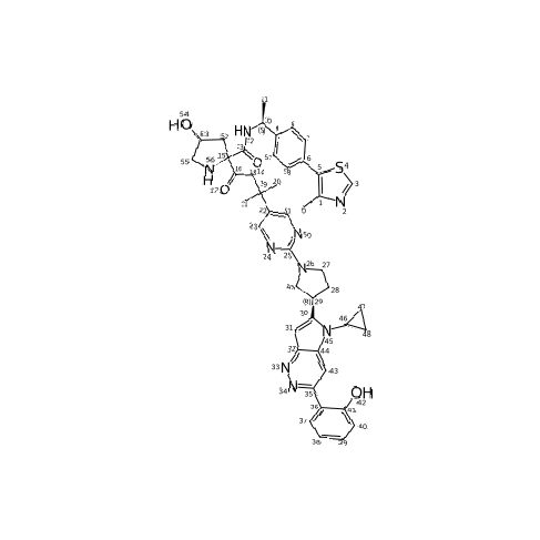 Cc1ncsc1-c1ccc([C@H](C)NC(=O)C2(C(=O)CC(C)(C)c3cnc(N4CC[C@@H](c5cc6nnc(-c7ccccc7O)cc6n5C5CC5)C4)nc3)CC(O)CN2)cc1